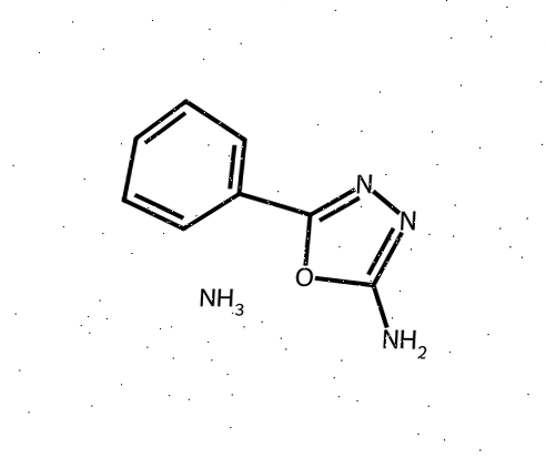 N.Nc1nnc(-c2ccccc2)o1